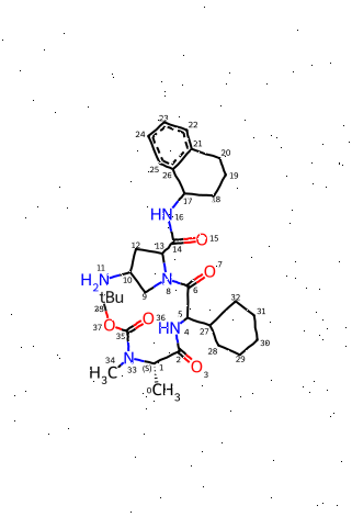 C[C@@H](C(=O)NC(C(=O)N1CC(N)CC1C(=O)NC1CCCc2ccccc21)C1CCCCC1)N(C)C(=O)OC(C)(C)C